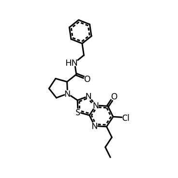 CCCc1nc2sc(N3CCCC3C(=O)NCc3ccccc3)nn2c(=O)c1Cl